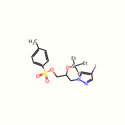 CC[Si](CC)(CC)OC(COS(=O)(=O)c1ccc(C)cc1)Cn1cc(I)cn1